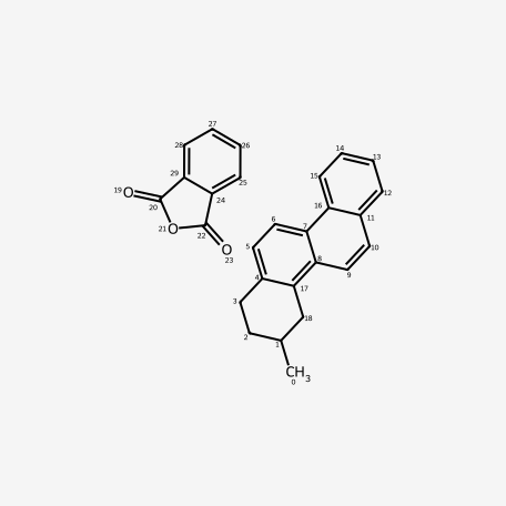 CC1CCc2ccc3c(ccc4ccccc43)c2C1.O=C1OC(=O)c2ccccc21